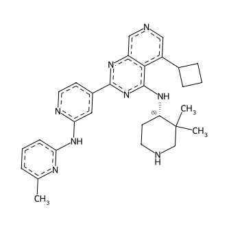 Cc1cccc(Nc2cc(-c3nc(N[C@H]4CCNCC4(C)C)c4c(C5CCC5)cncc4n3)ccn2)n1